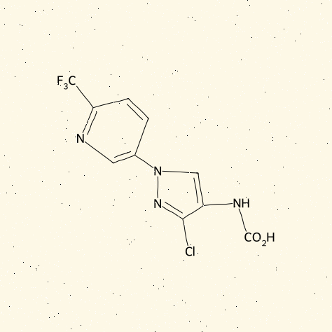 O=C(O)Nc1cn(-c2ccc(C(F)(F)F)nc2)nc1Cl